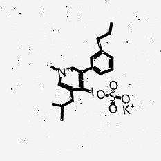 CCCc1cccc(-c2c[n+](C)cc(CC(C)C)c2I)c1.O=S(=O)([O-])[O-].[K+]